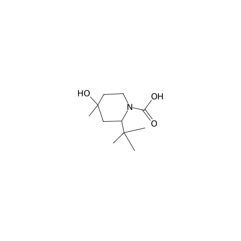 CC1(O)CCN(C(=O)O)C(C(C)(C)C)C1